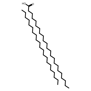 CCCCCCCCCCCCCCCCCCCCC.CCCCCCCCCCCCCCCCCCCCCCC(=O)O